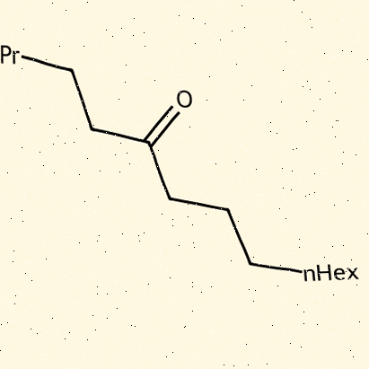 CCCCCCCCCC(=O)CCC(C)C